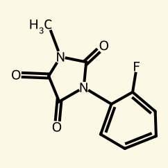 CN1C(=O)C(=O)N(c2ccccc2F)C1=O